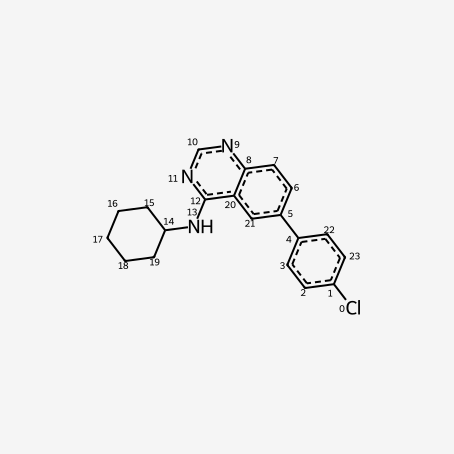 Clc1ccc(-c2ccc3ncnc(NC4CCCCC4)c3c2)cc1